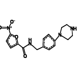 O=C(NCc1ccc(N2CCNCC2)cc1)c1ccc([N+](=O)[O-])o1